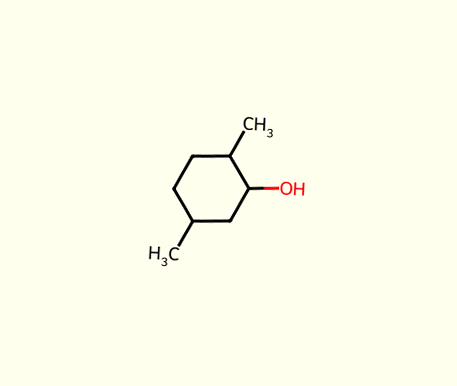 CC1CCC(C)C(O)C1